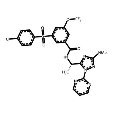 CNc1nc([C@H](C)NC(=O)c2cc(OC(F)(F)F)cc(S(=O)(=O)c3ccc(Cl)cc3)c2)n(-c2ncccn2)n1